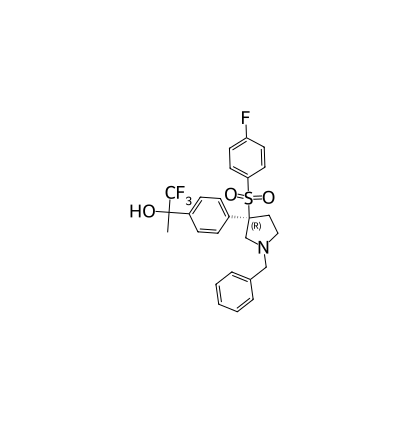 CC(O)(c1ccc([C@]2(S(=O)(=O)c3ccc(F)cc3)CCN(Cc3ccccc3)C2)cc1)C(F)(F)F